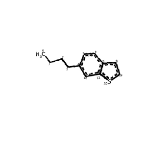 CCCCc1ccc2c[c]sc2c1